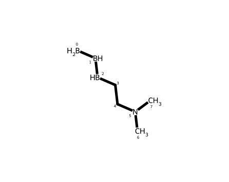 BBBCCN(C)C